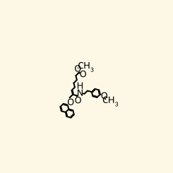 COC(=O)CCCCC=C(COc1cccc2ccccc12)C(=O)NCCc1ccc(OC)cc1